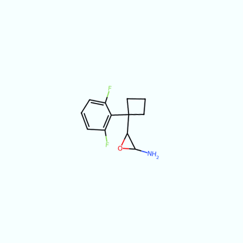 NC1OC1C1(c2c(F)cccc2F)CCC1